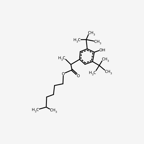 CC(C)CCCCOC(=O)C(C)c1cc(C(C)(C)C)c(O)c(C(C)(C)C)c1